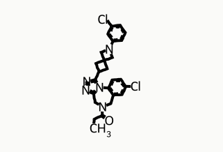 CCC(=O)N1Cc2cc(Cl)ccc2-n2c(nnc2C2CC3(C2)CN(c2cccc(Cl)c2)C3)C1